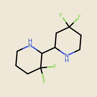 FC1(F)CCNC(C2NCCCC2(F)F)C1